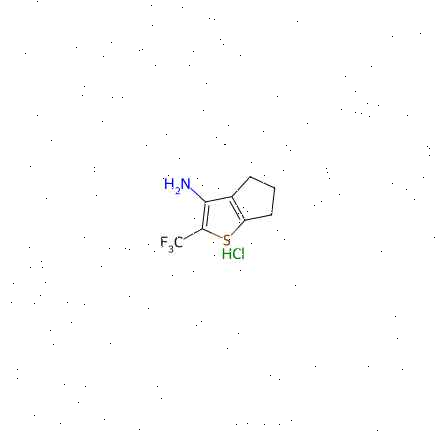 Cl.Nc1c(C(F)(F)F)sc2c1CCC2